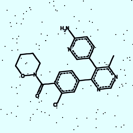 Cc1ncnc(-c2ccc(C(=O)N3CCCCO3)c(Cl)c2)c1-c1ccc(N)nc1